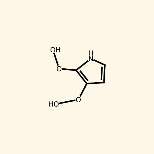 OOc1cc[nH]c1OO